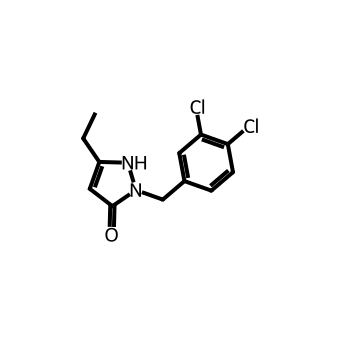 CCc1cc(=O)n(Cc2ccc(Cl)c(Cl)c2)[nH]1